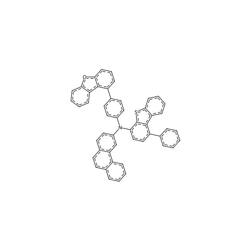 c1ccc(-c2ccc(N(c3ccc(-c4cccc5oc6ccccc6c45)cc3)c3ccc4ccc5ccccc5c4c3)c3sc4ccccc4c23)cc1